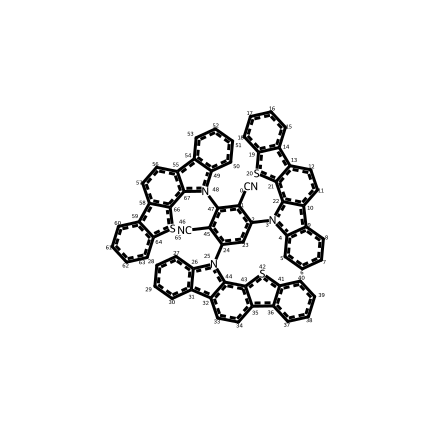 N#Cc1c(-n2c3ccccc3c3ccc4c5ccccc5sc4c32)cc(-n2c3ccccc3c3ccc4c5ccccc5sc4c32)c(C#N)c1-n1c2ccccc2c2ccc3c4ccccc4sc3c21